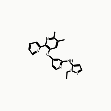 CCn1nccc1Nc1cc(Oc2cc(C)c(C)nc2-c2ccccn2)ccn1